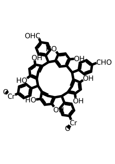 O=Cc1ccc(C2c3cc(c(O)cc3O)C(c3ccc(C=O)cc3)c3cc(c(O)cc3O)C(c3cc[c]([Cr]=[O])cc3)c3cc(c(O)cc3O)C(c3cc[c]([Cr]=[O])cc3)c3cc2c(O)cc3O)cc1